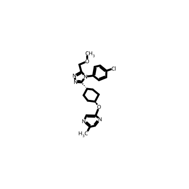 COCc1nnc([C@H]2CC[C@H](Oc3cnc(C)cn3)CC2)n1-c1ccc(Cl)cc1